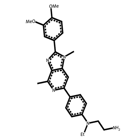 CCN(CCN)c1ccc(-c2cc3c(nc(-c4ccc(OC)c(OC)c4)n3C)c(C)n2)cc1